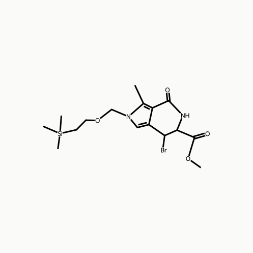 COC(=O)C1NC(=O)c2c(cn(COCC[Si](C)(C)C)c2C)C1Br